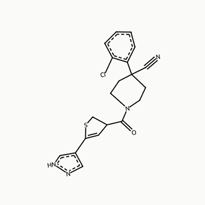 N#CC1(c2ccccc2Cl)CCN(C(=O)C2C=C(c3cn[nH]c3)SC2)CC1